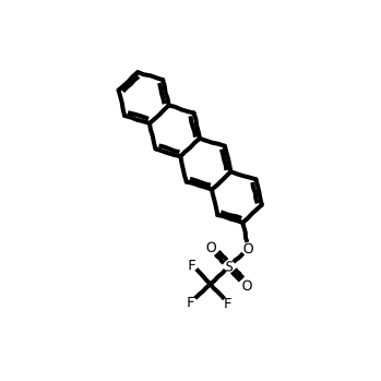 O=S(=O)(Oc1ccc2cc3cc4ccccc4cc3cc2c1)C(F)(F)F